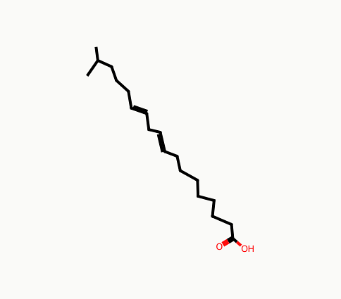 CC(C)CCCC=CCC=CCCCCCCCC(=O)O